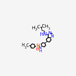 Cc1ccc(S(=O)(=O)Nc2ccc(-c3ccc4ncnc(NCCC(C)C)c4c3)cc2)cc1